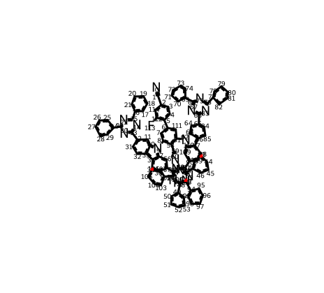 N#Cc1ccc(-c2cc(-n3c4cc(-c5nc(-c6ccccc6)nc(-c6ccccc6)n5)ccc4c4ccc(-c5nc(-c6ccccc6)nc(-c6ccccc6)n5)cc43)c(C#N)c(-n3c4cc(-c5nc(-c6ccccc6)nc(-c6ccccc6)n5)ccc4c4ccc(-c5nc(-c6ccccc6)nc(-c6ccccc6)n5)cc43)c2)c(F)c1